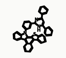 C1=C(c2ccccc2)NC(c2cccc(-n3c4ccccc4c4c5ccccc5c5c6ccccc6sc5c43)c2)N=C1c1ccccc1